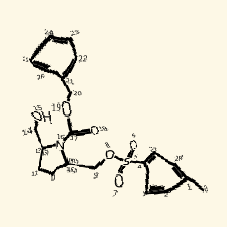 Cc1ccc(S(=O)(=O)OC[C@H]2CC[C@@H](CO)N2C(=O)OCc2ccccc2)cc1